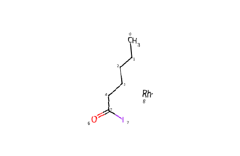 CCCCCC(=O)I.[Rh]